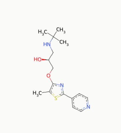 Cc1sc(-c2ccncc2)nc1OC[C@@H](O)CNC(C)(C)C